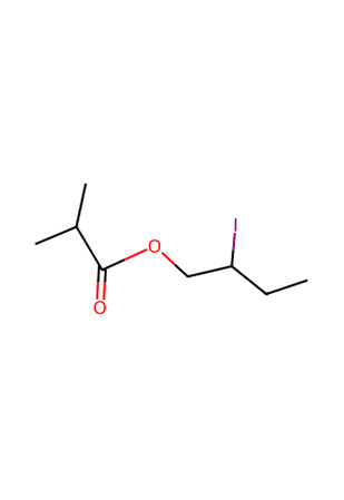 CCC(I)COC(=O)C(C)C